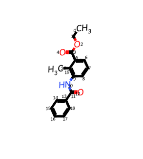 CCOC(=O)c1cccc(NC(=O)c2ccccc2)c1C